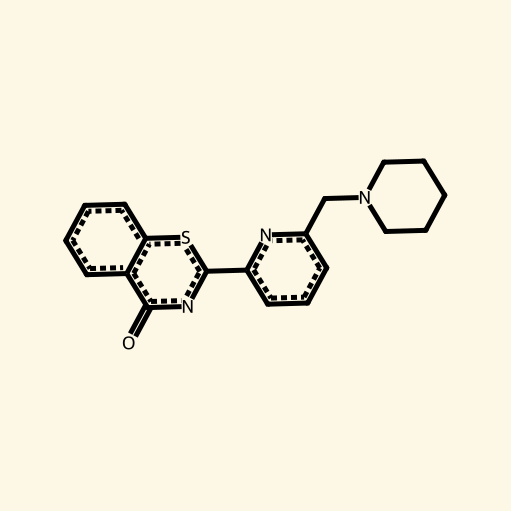 O=c1nc(-c2cccc(CN3CCCCC3)n2)sc2ccccc12